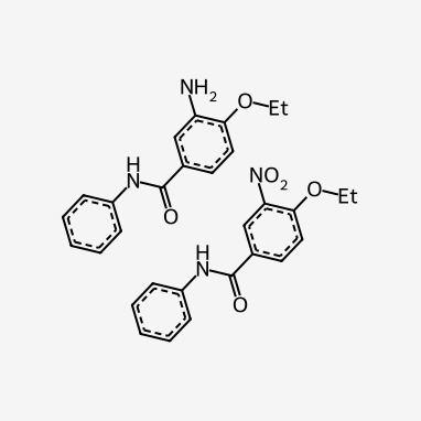 CCOc1ccc(C(=O)Nc2ccccc2)cc1N.CCOc1ccc(C(=O)Nc2ccccc2)cc1[N+](=O)[O-]